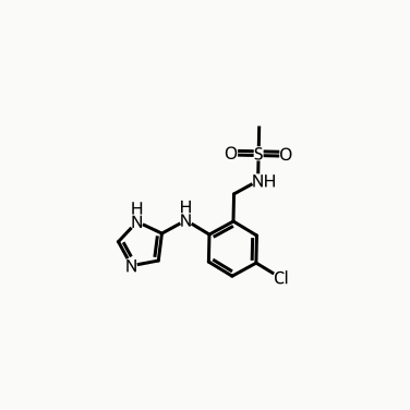 CS(=O)(=O)NCc1cc(Cl)ccc1Nc1cnc[nH]1